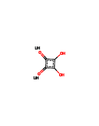 O=c1c(O)c(O)c1=O.[LiH].[LiH]